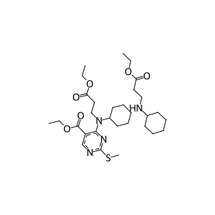 CCOC(=O)CCN(c1nc(SC)ncc1C(=O)OCC)C1CCCCC1.CCOC(=O)CCNC1CCCCC1